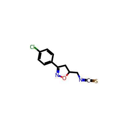 S=C=NCC1CC(c2ccc(Cl)cc2)=NO1